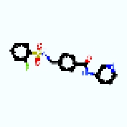 O=C(Nc1cccnc1)c1ccc(CNS(=O)(=O)c2ccccc2F)cc1